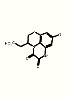 O=C(O)CC1CSc2cc(Cl)cc3[nH]c(=O)c(=O)n1c23